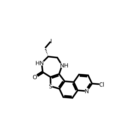 O=C1N[C@H](CI)CNc2c1sc1ccc3nc(Cl)ccc3c21